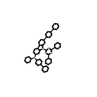 c1ccc(-c2ccc(-c3ccc4c5ccc(N(c6ccccc6)c6ccc(-c7ccccc7)cc6)cc5n(-c5nc(-c6ccccc6)nc(-c6ccccc6)n5)c4c3)cc2)cc1